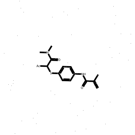 C=C(C)C(=O)Nc1ccc(SC(C(C)=O)C(=O)N(C)C)cc1